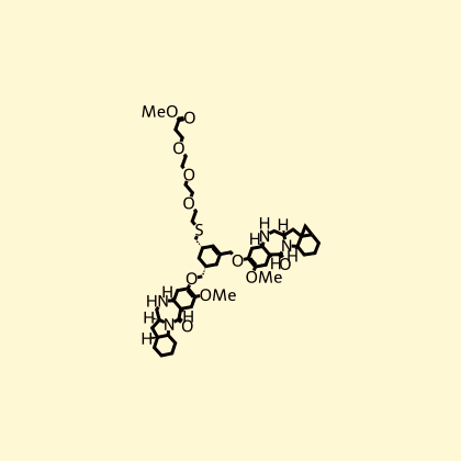 COC(=O)CCOCCOCCOCCSC[C@@H]1C=C(COC2=C(OC)C[C@H]3C(=O)N4[C@H](CN[C@H]3C2)CC23CC2CCC[C@H]43)C[C@H](COC2=C(OC)C[C@@H]3C(=O)N4C5CCCC[C@@H]5C[C@H]4CN[C@@H]3C2)C1